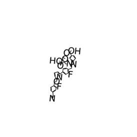 COC(Cn1c(Cc2ccc(-c3cccc(OCc4ccc(C#N)cc4F)n3)cc2F)nc2ccc(C(=O)O)cc21)C(=O)O